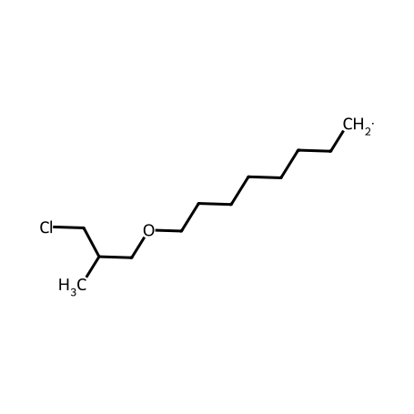 [CH2]CCCCCCCOCC(C)CCl